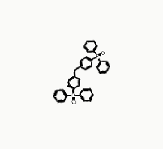 O=P(c1ccccc1)(c1ccccc1)c1ccc(Cc2ccc(P(=O)(c3ccccc3)c3ccccc3)cc2)cc1